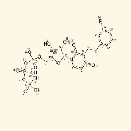 O=c1ccn([C@@H]2O[C@H](COP(=O)(O)OP(=O)(O)OP(=O)(O)O)[C@H](O)C2O)c(=O)n1CCc1cccc(F)c1